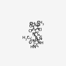 C=CC(=O)NC1CNCC1Nc1ncc2cc(-c3c(Cl)c(OC)cc(OC)c3Cl)ncc2n1